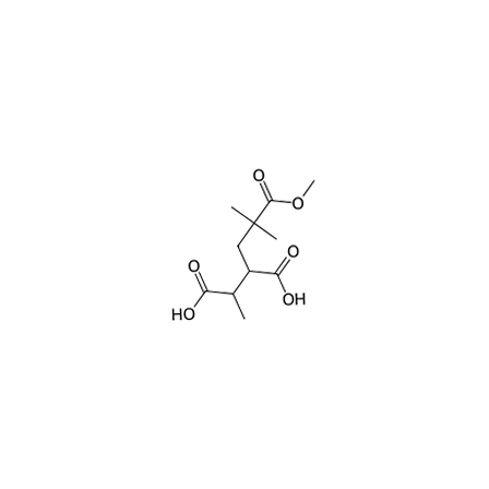 COC(=O)C(C)(C)CC(C(=O)O)C(C)C(=O)O